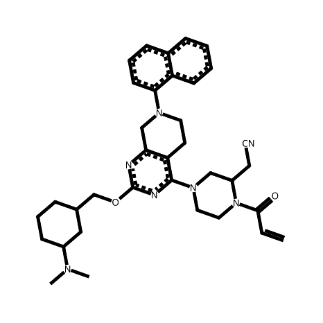 C=CC(=O)N1CCN(c2nc(OCC3CCCC(N(C)C)C3)nc3c2CCN(c2cccc4ccccc24)C3)CC1CC#N